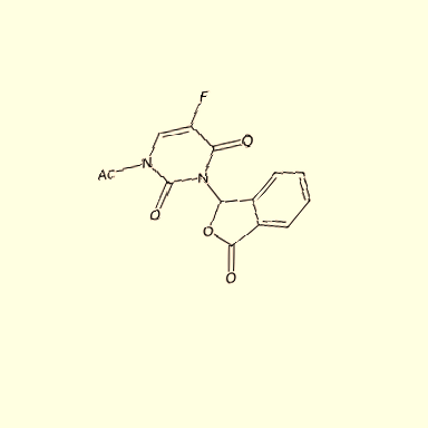 CC(=O)n1cc(F)c(=O)n(C2OC(=O)c3ccccc32)c1=O